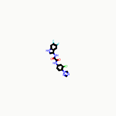 O=C(Nc1ccc(-n2cncn2)c(Cl)c1)C(=O)Nc1c[nH]c2cc(F)c(F)cc12